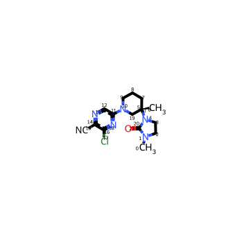 CN1CCN([C@@]2(C)CCCN(c3cnc(C#N)c(Cl)n3)C2)C1=O